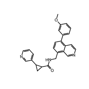 COc1cccc(-c2ccc(CNC(=O)C3CC3c3cccnc3)c3cnccc23)c1